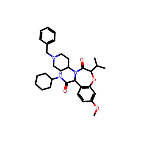 COc1ccc2c(c1)OC(C(C)C)C(=O)N(C1CCN(Cc3ccccc3)CC1)C2C(=O)NC1CCCCC1